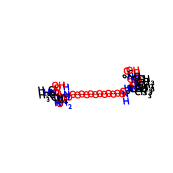 CC[C@H](C)[C@H](NC(=O)[C@H]1CCCC[N+]1(C)Cc1ccc(NC(=O)OCCOCCOCCOCCOCCOCCOCCOCCOCCOCCOCCOCCC(=O)NCCCC[C@H](NC(=O)[C@H](CN)N2C(=O)C=CC2=O)C(=O)N[C@H](C(=O)N[C@@H](C)CCC(=O)O)C(C)C)cc1)C(=O)N(C)[C@H](C[C@@H](OC(C)=O)c1nc(C(=O)N[C@@H](Cc2ccccc2)C[C@H](C)C(=O)O)cs1)C(C)C